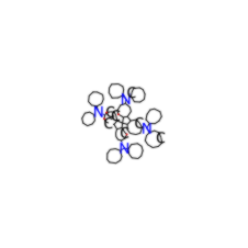 C1CCCCC(N(C2CCCCCCCC2)C2CCCCC3C(CC2)C2CCC(N(C4CCCCCCCC4)C4CCCCCCCC4)CCCC2C32C3CCCCC(N(C4CCCCCCCC4)C4CCCCCCC4)CCCC3C3CCCC(N(C4CCCCCCCC4)C4CCCCCCCC4)CCCC32)CCCC1